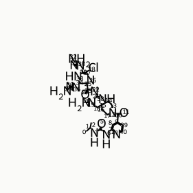 CC(C)NC(=O)Nc1cc(C(=O)N2CCC3(CC2)CN(N)/C(=N\C(=O)C2=NC(Cl)=C(N=NN)NC2N=NN)N3)ccn1